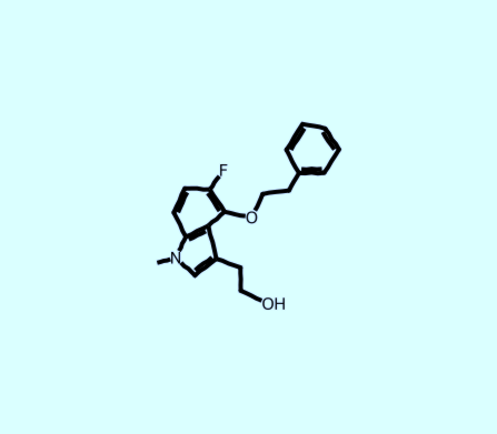 Cn1cc(CCO)c2c(OCCc3ccccc3)c(F)ccc21